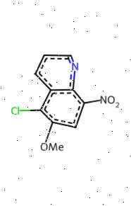 COc1cc([N+](=O)[O-])c2ncccc2c1Cl